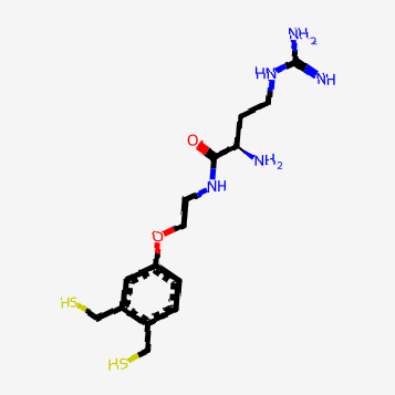 N=C(N)NCC[C@@H](N)C(=O)NCCOc1ccc(CS)c(CS)c1